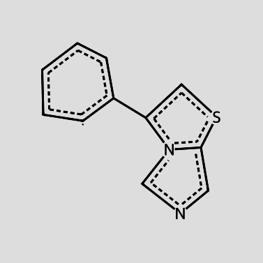 [c]1ccccc1-c1csc2cncn12